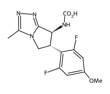 COc1cc(F)c([C@@H]2Cn3c(C)nnc3[C@H]2NC(=O)O)c(F)c1